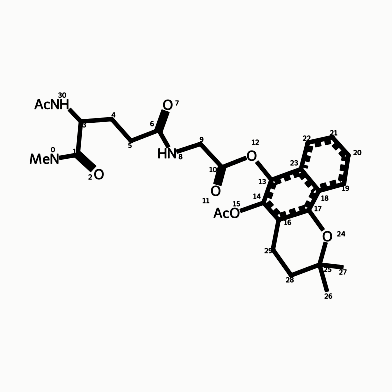 CNC(=O)C(CCC(=O)NCC(=O)Oc1c(OC(C)=O)c2c(c3ccccc13)OC(C)(C)CC2)NC(C)=O